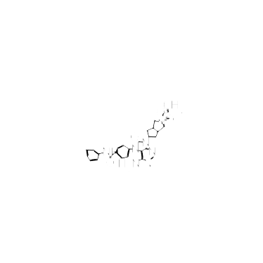 C=CS(=O)(=O)N1CC2CC(n3c(=O)n(-c4ccc(C(=O)Nc5ccccc5)cc4)c4c(N)ncnc43)CC2C1